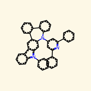 c1ccc(-c2cc(N3c4ccccc4-c4ccccc4-c4cc5c6ccccc6n(-c6ccccc6)c5cc43)cc(-c3ccccc3)n2)cc1